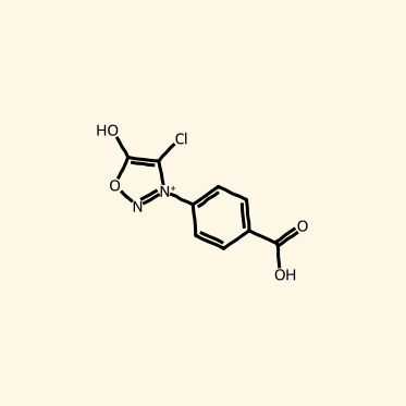 O=C(O)c1ccc(-[n+]2noc(O)c2Cl)cc1